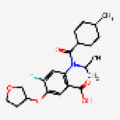 CC(C)N(c1cc(F)c(OC2CCOC2)cc1C(=O)O)C(=O)[C@H]1CC[C@H](C)CC1